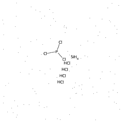 Cl.Cl.Cl.Cl.ClP(Cl)Cl.[SiH4]